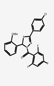 COc1ccccc1C1SC(c2ccc(Cl)cc2)=NN1C(=O)c1c(F)cc(F)cc1F